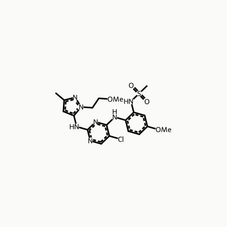 COCCn1nc(C)cc1Nc1ncc(Cl)c(Nc2ccc(OC)cc2NS(C)(=O)=O)n1